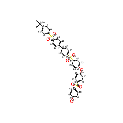 CC(C)(C)c1ccc(S(=O)(=O)c2ccc(-c3ccc(S(=O)(=O)c4ccc(Oc5ccc(S(=O)(=O)c6ccc(O)cc6)cc5)cc4)cc3)cc2)cc1